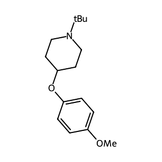 COc1ccc(OC2CCN(C(C)(C)C)CC2)cc1